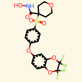 O=C(NO)C1(S(=O)(=O)c2ccc(Oc3ccc4c(c3)OC(F)(F)C(F)(F)O4)cc2)CCOCC1